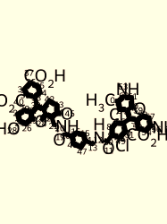 Cc1cc2c(-c3c(Cl)cc(C(=O)NCc4ccc(C(=O)NCc5c6oc7cc(O)ccc7c(-c7ccc(C(=O)O)cc7C(=O)O)c-6ccc5=O)cc4)c(Cl)c3C(=O)O)c3ccc(N)cc3oc-2cc1=N